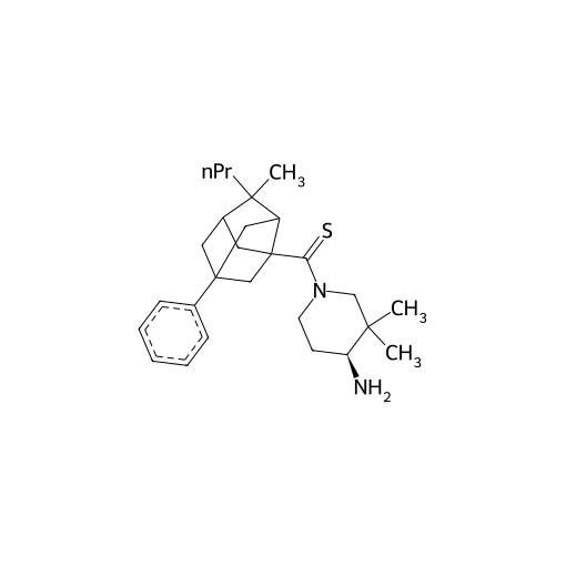 CCCC1(C)C2CC3(c4ccccc4)CC1C(C(=S)N1CC[C@H](N)C(C)(C)C1)(C2)C3